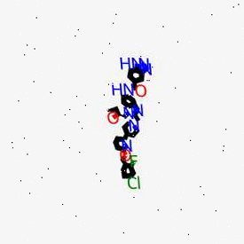 O=C(Nc1ccc2c(c1)nc(CN1CC=C(c3cccc(OCc4ccc(Cl)cc4F)n3)CC1)n2C[C@@H]1CCO1)c1ccc2[nH]nnc2c1